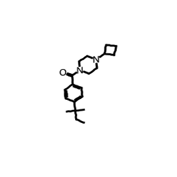 CCC(C)(C)c1ccc(C(=O)N2CCN(C3CCC3)CC2)cc1